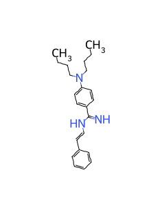 CCCCN(CCCC)c1ccc(C(=N)NC=Cc2ccccc2)cc1